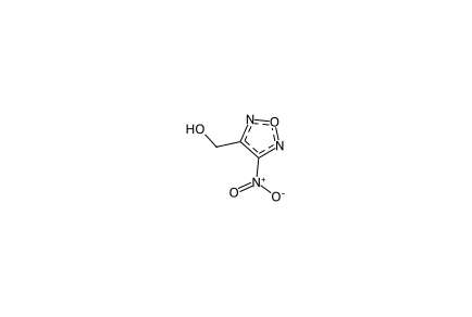 O=[N+]([O-])c1nonc1CO